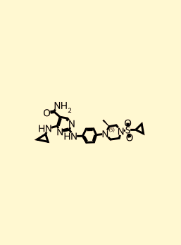 C[C@H]1CN(S(=O)(=O)C2CC2)CCN1c1ccc(Nc2ncc(C(N)=O)c(NC3CC3)n2)cc1